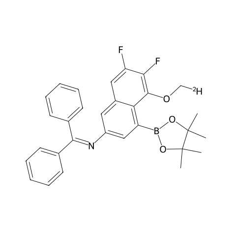 [2H]COc1c(F)c(F)cc2cc(N=C(c3ccccc3)c3ccccc3)cc(B3OC(C)(C)C(C)(C)O3)c12